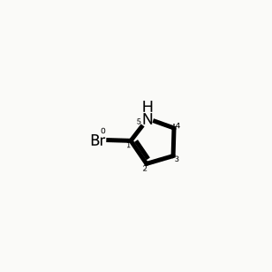 BrC1=CC[CH]N1